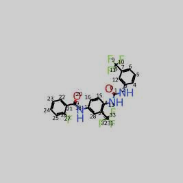 O=C(Nc1cccc(C(F)(F)F)c1)Nc1ccc(NC(=O)c2ccccc2F)cc1C(F)(F)F